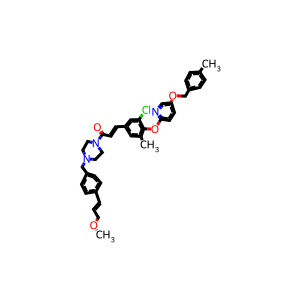 COCC=Cc1ccc(CN2CCN(C(=O)/C=C/c3cc(C)c(Oc4ccc(OCc5ccc(C)cc5)cn4)c(Cl)c3)CC2)cc1